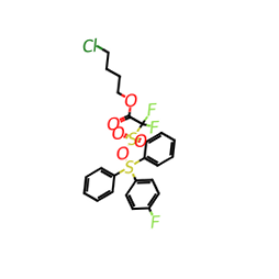 O=C(OCCCCCl)C(F)(F)S(=O)(=O)OS(c1ccccc1)(c1ccccc1)c1ccc(F)cc1